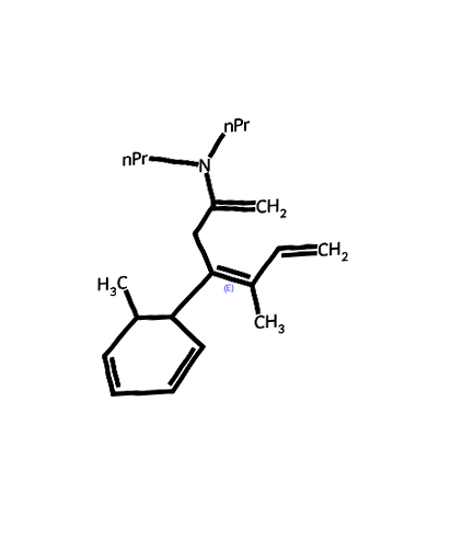 C=C/C(C)=C(\CC(=C)N(CCC)CCC)C1C=CC=CC1C